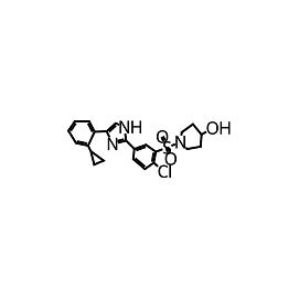 O=S(=O)(c1cc(-c2nc(-c3ccccc3C3CC3)c[nH]2)ccc1Cl)N1CCC(O)CC1